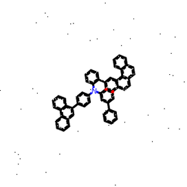 c1ccc(-c2cccc(N(c3ccc(-c4cc5ccccc5c5ccccc45)cc3)c3ccccc3-c3ccc4ccc5ccc6ccccc6c5c4c3)c2)cc1